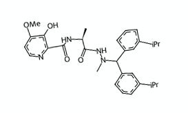 COc1ccnc(C(=O)N[C@@H](C)C(=O)NN(C)C(c2cccc(C(C)C)c2)c2cccc(C(C)C)c2)c1O